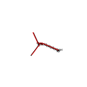 CCCCCCCCCCCCCCCCCCOc1cc(Cn2cc(COCCOCCOCCOCCOCCOCCOCCOCCP(=O)(O)F)nn2)cc(OCCCCCCCCCCCCCCCCCC)c1